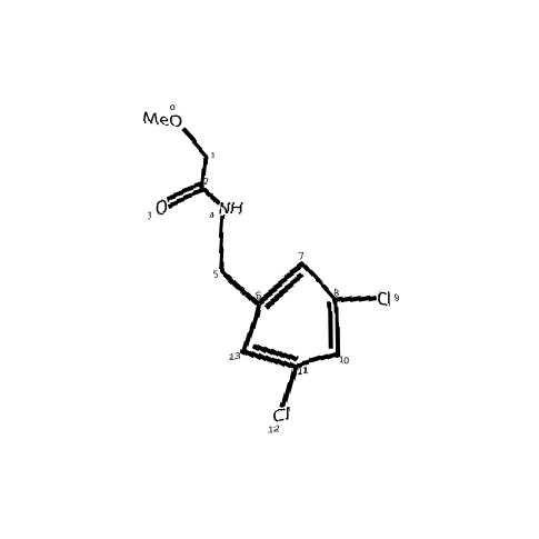 COCC(=O)NCc1cc(Cl)cc(Cl)c1